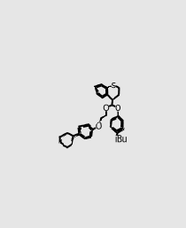 CCC(C)c1ccc(OC(OCCOc2ccc(C3CCCCC3)cc2)C2CCSc3ccccc32)cc1